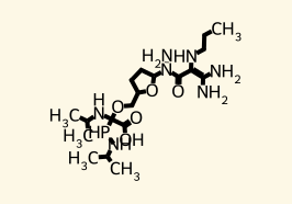 CCCNC(C(=O)N(N)C1CCC(COC(NC(C)C)(PNC(C)C)C(=O)O)O1)=C(N)N